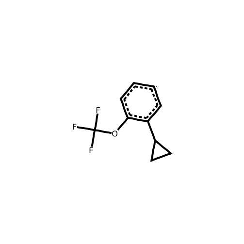 FC(F)(F)Oc1cc[c]cc1C1CC1